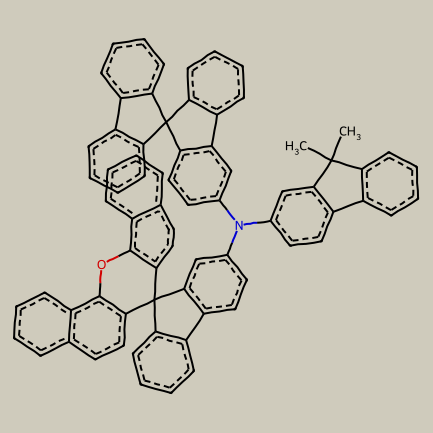 CC1(C)c2ccccc2-c2ccc(N(c3ccc4c(c3)-c3ccccc3C43c4ccccc4-c4ccccc43)c3ccc4c(c3)C3(c5ccccc5-4)c4ccc5ccccc5c4Oc4c3ccc3ccccc43)cc21